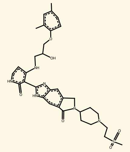 Cc1ccc(OCC(O)CNc2cc[nH]c(=O)c2-c2nc3cc4c(cc3[nH]2)C(=O)N(C2CCN(CCS(C)(=O)=O)CC2)C4)c(C)c1